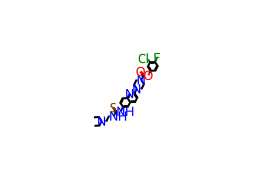 CCN(CC)CCNC(=S)Nc1ccc2nc(N3CCN(C(=O)Oc4ccc(F)c(Cl)c4)CC3)ccc2c1